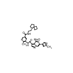 COc1nc(-c2cnn(C)c2)cn2ncc(C(=O)Nc3cc(C(=O)NCCN4CCCC45CCC5)cnc3C)c12